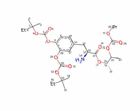 CCC(C)(C)OC(=O)Oc1ccc(C[C@H](N)C(=O)O[C@@H](C)C(C)OC(=O)OC(C)C)cc1OC(=O)OC(C)(C)CC